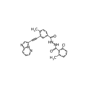 Cc1ccc(C(=O)NNC(=O)c2c(C)cccc2Cl)cc1C#Cc1cnc2cccnn12